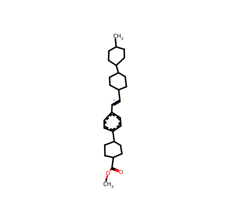 COC(=O)C1CCC(c2ccc(/C=C/C3CCC(C4CCC(C)CC4)CC3)cc2)CC1